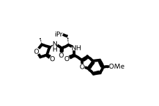 COc1ccc2oc(C(=O)N[C@@H](CC(C)C)C(=O)N[C@@H]3C(=O)CO[C@@H]3C)cc2c1